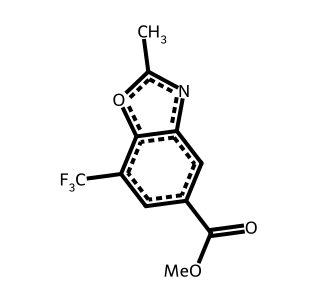 COC(=O)c1cc(C(F)(F)F)c2oc(C)nc2c1